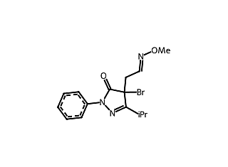 CON=CCC1(Br)C(=O)N(c2ccccc2)N=C1C(C)C